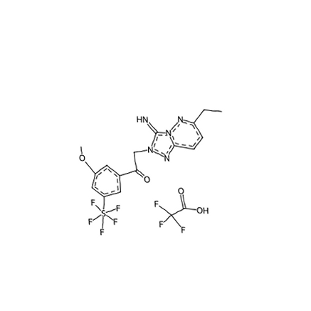 CCc1ccc2nn(CC(=O)c3cc(OC)cc(S(F)(F)(F)(F)F)c3)c(=N)n2n1.O=C(O)C(F)(F)F